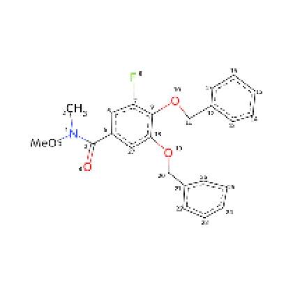 CON(C)C(=O)c1cc(F)c(OCc2ccccc2)c(OCc2ccccc2)c1